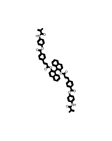 C=C(C)C(=O)Nc1ccc(OC(=O)c2ccc(/C=C/C(=O)Oc3ccc4ccccc4c3-c3c(OC(=O)/C=C/c4ccc(C(=O)Oc5ccc(NC(=O)C(=C)C)cc5)cc4)ccc4ccccc34)cc2)cc1